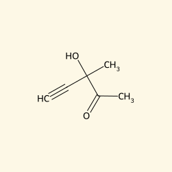 C#CC(C)(O)C(C)=O